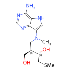 CSC[C@@H](O)[C@@H](CO)CN(C)c1c[nH]c2c(N)ncnc12